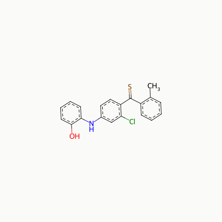 Cc1ccccc1C(=S)c1ccc(Nc2ccccc2O)cc1Cl